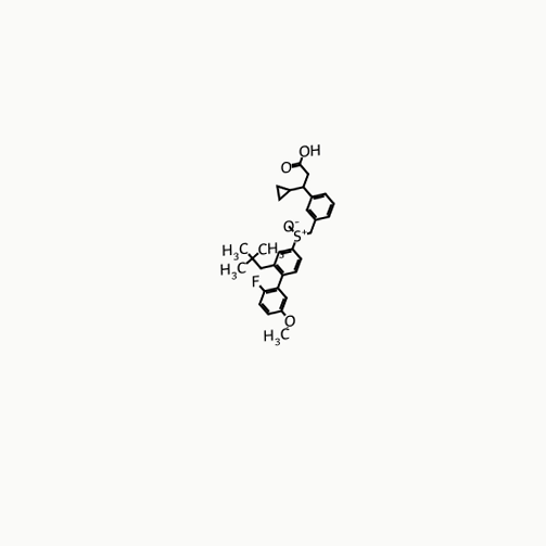 COc1ccc(F)c(-c2ccc([S+]([O-])Cc3cccc(C(CC(=O)O)C4CC4)c3)cc2CC(C)(C)C)c1